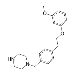 COc1cccc(OCCc2ccc(CN3CCNCC3)cc2)c1